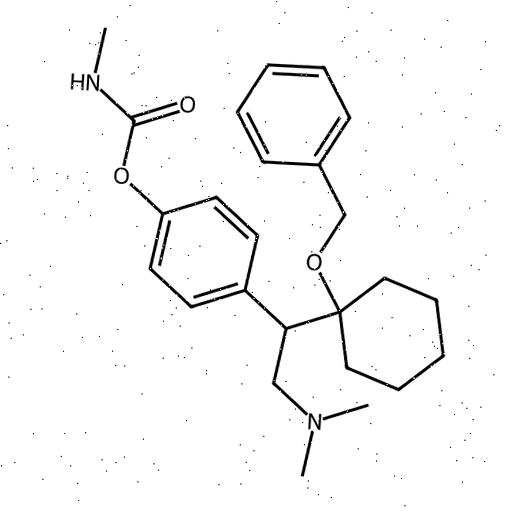 CNC(=O)Oc1ccc(C(CN(C)C)C2(OCc3ccccc3)CCCCC2)cc1